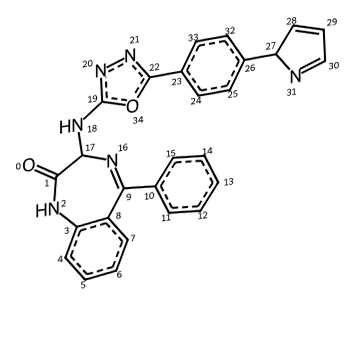 O=C1Nc2ccccc2C(c2ccccc2)=NC1Nc1nnc(-c2ccc(C3C=CC=N3)cc2)o1